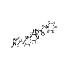 Cn1cc(-c2ccc3cnc(NC(=O)CN4CCCCC4)cc3n2)cn1